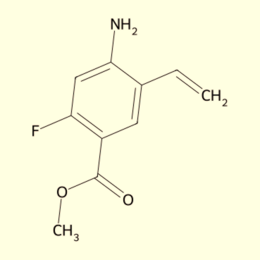 C=Cc1cc(C(=O)OC)c(F)cc1N